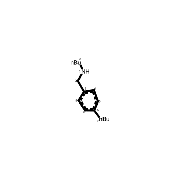 CCCCNCc1ccc(CCCC)cc1